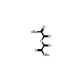 CCCCC(=O)C(=O)OC(=O)C(=O)CCCC